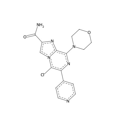 NC(=O)c1cn2c(Cl)c(-c3ccncc3)nc(N3CCOCC3)c2n1